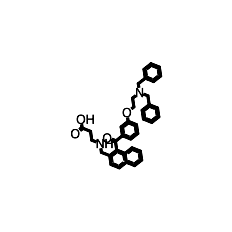 O=C(O)CCNCc1ccc2ccccc2c1C(=O)c1cccc(OCCN(Cc2ccccc2)Cc2ccccc2)c1